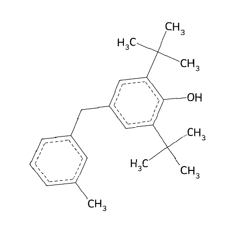 Cc1cccc(Cc2cc(C(C)(C)C)c(O)c(C(C)(C)C)c2)c1